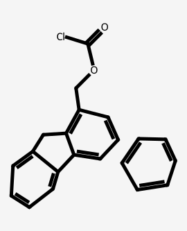 O=C(Cl)OCc1cccc2c1Cc1ccccc1-2.c1ccccc1